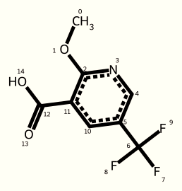 COc1ncc(C(F)(F)F)cc1C(=O)O